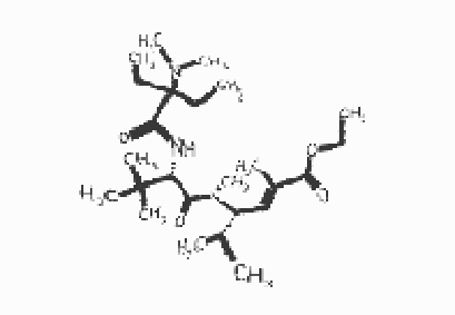 CCOC(=O)/C(C)=C/[C@H](C(C)C)N(C)C(=O)[C@@H](NC(=O)C(CC)(CC)N(C)C)C(C)(C)C